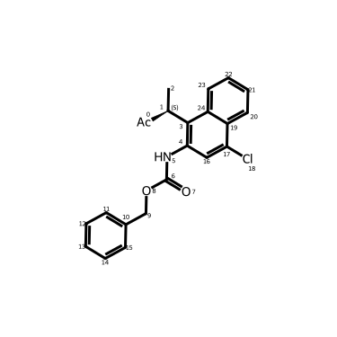 CC(=O)[C@@H](C)c1c(NC(=O)OCc2ccccc2)cc(Cl)c2ccccc12